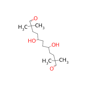 CC(C)(C=O)CCC(O)CCC(O)CCC(C)(C)C=O